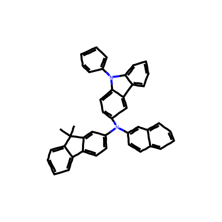 CC1(C)c2ccccc2-c2ccc(N(c3ccc4ccccc4c3)c3ccc4c(c3)c3ccccc3n4-c3ccccc3)cc21